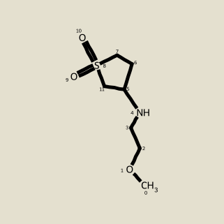 COCCNC1CCS(=O)(=O)C1